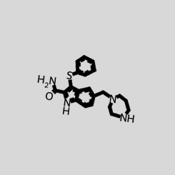 NC(=O)c1[nH]c2ccc(CN3CCCNCC3)cc2c1Sc1ccccc1